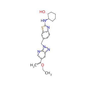 C=C(OCC)c1cnc2c(c1)ncn2Cc1ccc2nc(N[C@@H]3CCCC[C@H]3O)sc2c1